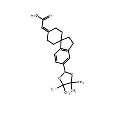 COC(=O)C=C1CCC2(CC1)CCc1cc(B3OC(C)(C)C(C)(C)O3)ccc12